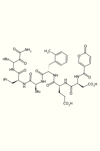 CCCCC(NC(=O)[C@H](CC(C)C)NC(=O)[C@@H](NC(=O)[C@H](Cc1ccccc1C)NC(=O)[C@H](CCC(=O)O)NC(=O)[C@H](CC(=O)O)NC(=O)c1ccc(=O)oc1)C(C)(C)C)C(=O)C(N)=O